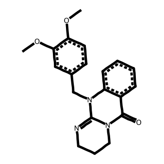 COc1ccc(CN2C3=NCCCN3C(=O)c3ccccc32)cc1OC